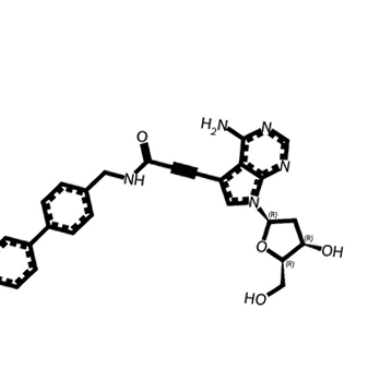 Nc1ncnc2c1c(C#CC(=O)NCc1ccc(-c3ccccc3)cc1)cn2[C@H]1C[C@@H](O)[C@@H](CO)O1